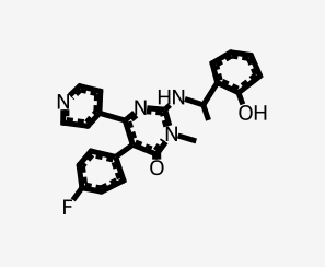 CC(Nc1nc(-c2ccncc2)c(-c2ccc(F)cc2)c(=O)n1C)c1ccccc1O